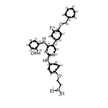 CCN(CC)CCOc1ccc(Nc2ncc(-c3ccc(OCc4ccccc4)c(F)c3)c(Nc3ccccc3OC)n2)cc1